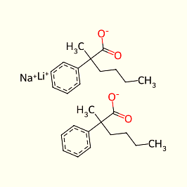 CCCCC(C)(C(=O)[O-])c1ccccc1.CCCCC(C)(C(=O)[O-])c1ccccc1.[Li+].[Na+]